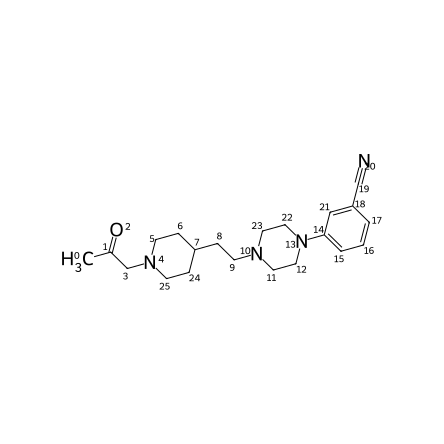 CC(=O)CN1CCC(CCN2CCN(c3cccc(C#N)c3)CC2)CC1